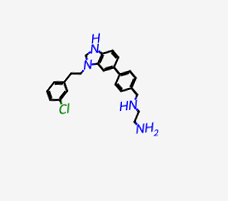 NCCNCc1ccc(-c2ccc3c(c2)N(CCc2cccc(Cl)c2)CN3)cc1